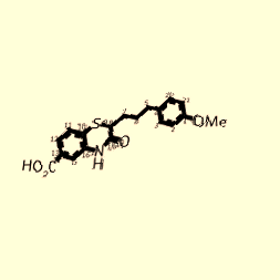 COc1ccc(CCCC2Sc3ccc(C(=O)O)cc3NC2=O)cc1